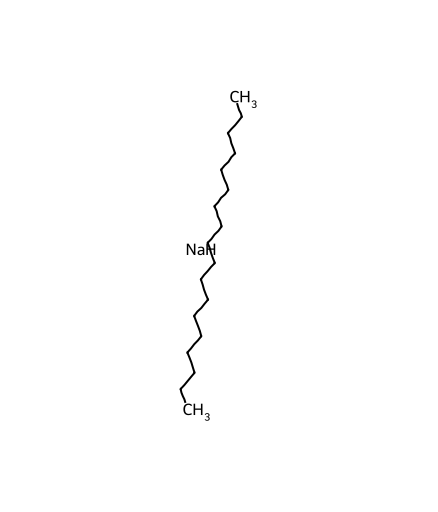 CCCCCCCCCCCCCCCCCC.[NaH]